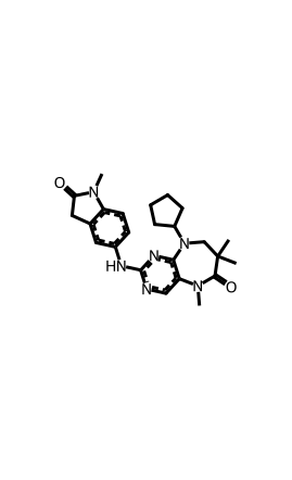 CN1C(=O)Cc2cc(Nc3ncc4c(n3)N(C3CCCC3)CC(C)(C)C(=O)N4C)ccc21